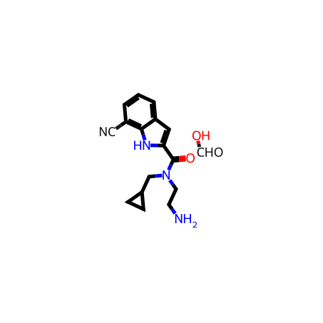 N#Cc1cccc2cc(C(=O)N(CCN)CC3CC3)[nH]c12.O=CO